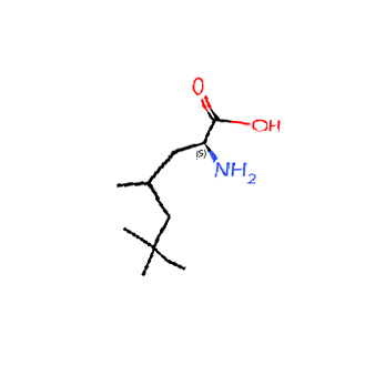 CC(C[C@H](N)C(=O)O)CC(C)(C)C